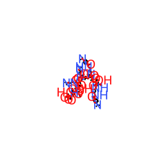 CCOC(=O)C(C(CC(C)(C)C1C(=O)OC(=O)C1C)C(=O)O)C(C)(C)CC(C(=O)O)C(C(=O)NCCCN(C)C)C(C)(C)CC1C(=O)N(CCCN(C)C)C(=O)C1C(C)(C)CC1C(=O)N(CCCNC(=O)c2ccc(N(C)C)cc2)C(=O)C1C(C)(C)CC(C(=O)O)C(C(=O)NCCCNC(=O)c1ccc(N(C)C)cc1)C(C)(C)CC